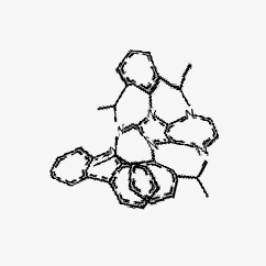 CC(C)c1cccc(C(C)C)c1-n1c(=Nn2c3ccccc3c3ccccc32)n(-c2c(C(C)C)cccc2C(C)C)c2nccnc21